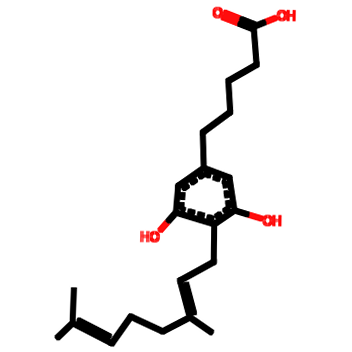 CC(C)=CCC/C(C)=C/Cc1c(O)cc(CCCCC(=O)O)cc1O